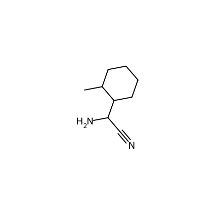 CC1CCCCC1C(N)C#N